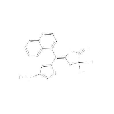 CCOC(=O)c1c[nH]c(/C(=C2\CC(C)(C)C(=O)O2)c2cccc3ccccc23)c1